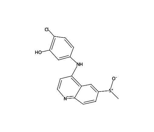 C[S+]([O-])c1ccc2nccc(Nc3ccc(Cl)c(O)c3)c2c1